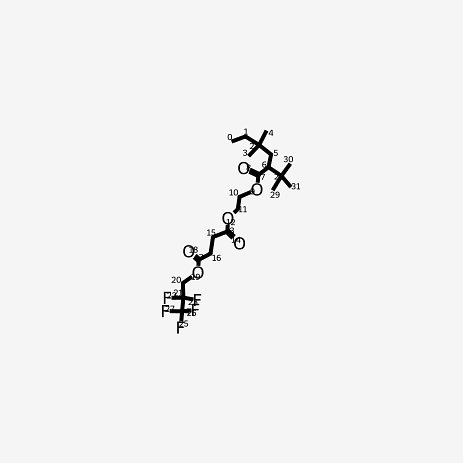 CCC(C)(C)CC(C(=O)OCCOC(=O)CCC(=O)OCC(F)(F)C(F)(F)F)C(C)(C)C